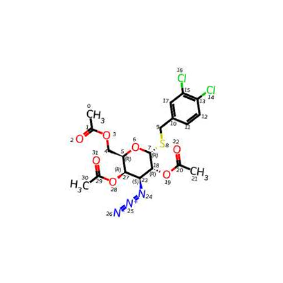 CC(=O)OC[C@H]1O[C@H](SCc2ccc(Cl)c(Cl)c2)[C@H](OC(C)=O)[C@@H](N=[N+]=[N-])[C@H]1OC(C)=O